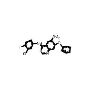 O=[N+]([O-])c1cc2c(Nc3ccc(F)c(Cl)c3)ncnc2cc1Oc1cc2ccc1o2